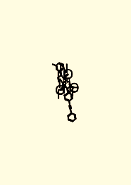 Cc1ccnc(N2CCN3C(=O)N(c4c(F)cc(C#Cc5ccccc5)cc4F)C(=O)C[C@@]3(C)C2=O)c1